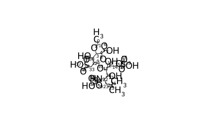 CCOC1C(C(=O)O)OC(OC(C(O)COS(=O)(=O)O)C(O)[C@@H](CC(C)C)NS(=O)(=O)O)C(CS(=O)(=O)O)C1O